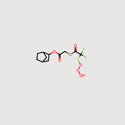 O=C(COC(=O)C(F)(F)SOOO)OC1CC2CCC1C2